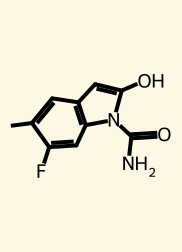 Cc1cc2cc(O)n(C(N)=O)c2cc1F